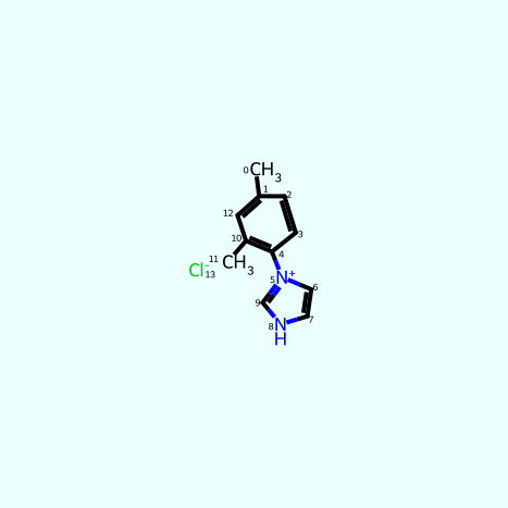 Cc1ccc(-[n+]2cc[nH]c2)c(C)c1.[Cl-]